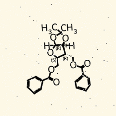 CC1(C)O[C@H]2O[C@H](COC(=O)c3ccccc3)[C@@H](COC(=O)c3ccccc3)[C@H]2O1